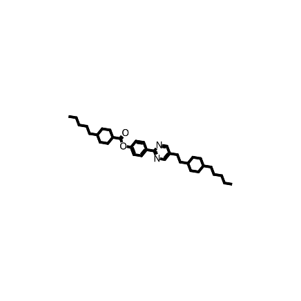 CCCCCC1CCC(CCc2cnc(-c3ccc(OC(=O)C4CCC(CCCCC)CC4)cc3)nc2)CC1